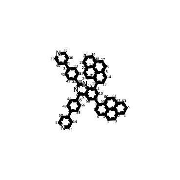 c1cc2ccc3ccc(-c4cc(-c5ccc6ccc7cccc8ccc5c6c78)c5nc(-c6ccc(-c7ccncc7)cc6)nc(-c6ccc(-c7ccncc7)cc6)c5c4)c4ccc(c1)c2c34